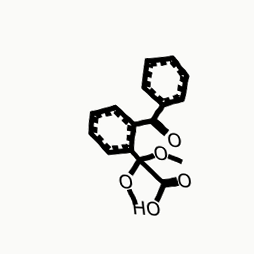 COC(OC)(C(=O)O)c1ccccc1C(=O)c1ccccc1